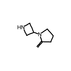 C=C1CCCN1C1CNC1